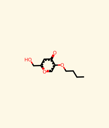 CCCCOc1coc(CO)cc1=O